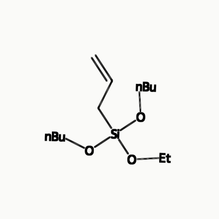 C=CC[Si](OCC)(OCCCC)OCCCC